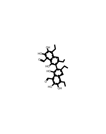 CCc1cc2c(CC)c(O)c(O)c(C=O)c2c(O)c1-c1c(CC)cc2c(CC)c(O)c(O)c(C=O)c2c1O